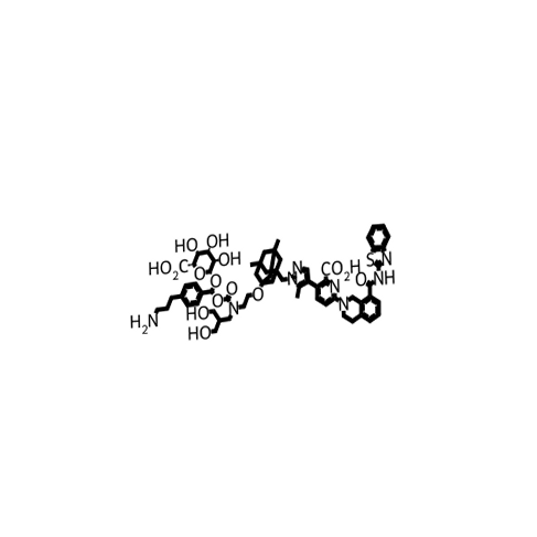 Cc1c(-c2ccc(N3CCc4cccc(C(=O)Nc5nc6ccccc6s5)c4C3)nc2C(=O)O)cnn1CC12CC3(C)CC(C)(C1)CC(OCCN(CC(CO)CO)C(=O)OC(O[C@@H]1O[C@H](C(=O)O)[C@@H](O)[C@H](O)[C@H]1O)c1ccc(CCCN)cc1)(C3)C2